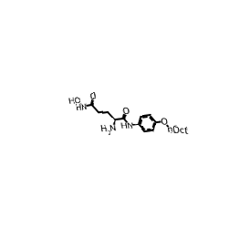 CCCCCCCCOc1ccc(NC(=O)[C@@H](N)CCC(=O)NO)cc1